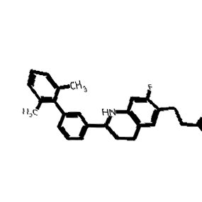 Cc1cccc(C)c1-c1cccc(C2CCc3cc(CCC(=O)O)c(F)cc3N2)c1